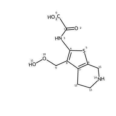 O=C(O)C(=O)Nc1sc2c(c1COO)CCNC2